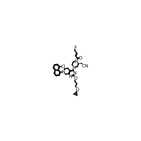 N#CC[C@H]1CN(c2nc(OCCCOC3CC3)nc3c2CCN(c2cccc4cccc(Cl)c24)C3)CCN1C(=O)/C=C/CF